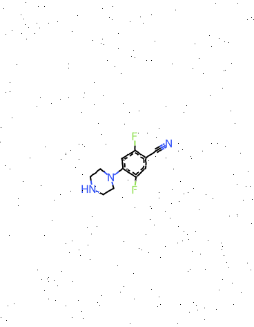 N#Cc1cc(F)c(N2CCNCC2)cc1F